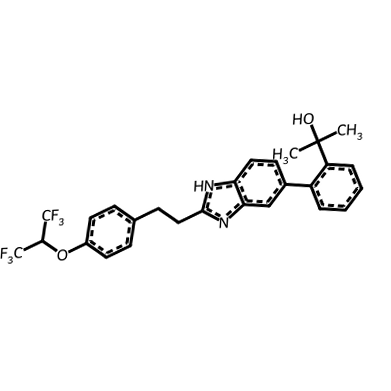 CC(C)(O)c1ccccc1-c1ccc2[nH]c(CCc3ccc(OC(C(F)(F)F)C(F)(F)F)cc3)nc2c1